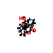 O=C(O)C1C2CC3CC(C(=O)O)(C2)CC1(C12CC4CC(CC(C4)C1)C2)C3